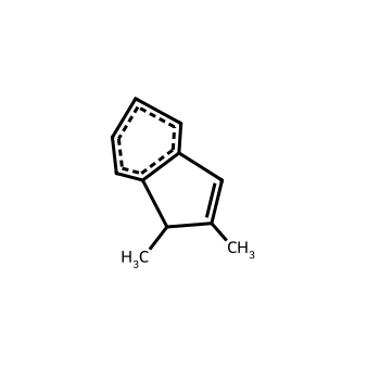 CC1=Cc2ccccc2C1C